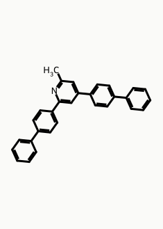 Cc1cc(-c2ccc(-c3ccccc3)cc2)cc(-c2ccc(-c3ccccc3)cc2)n1